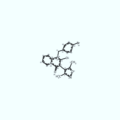 Cc1noc(C)c1-c1c([O-])[n+](Cc2ccc(Br)cc2)c2ccccn2c1=O